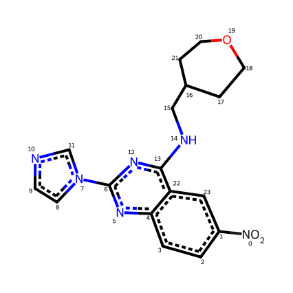 O=[N+]([O-])c1ccc2nc(-n3ccnc3)nc(NCC3CCOCC3)c2c1